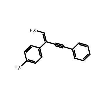 CC=C(C#Cc1ccccc1)c1ccc(C)cc1